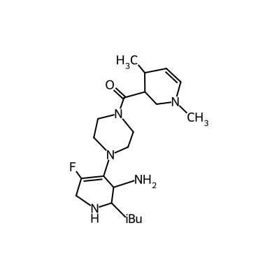 CCC(C)C1NCC(F)=C(N2CCN(C(=O)C3CN(C)C=CC3C)CC2)C1N